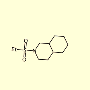 CCS(=O)(=O)N1CCC2CCCCC2C1